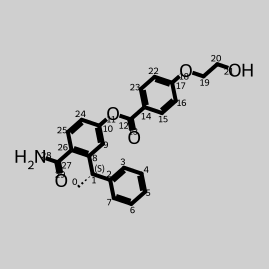 C[C@@H](c1ccccc1)c1cc(OC(=O)c2ccc(OCCO)cc2)ccc1C(N)=O